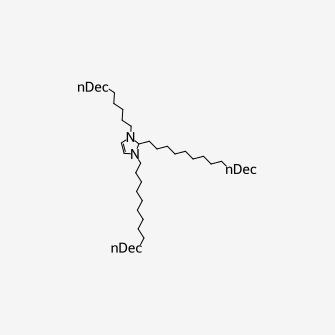 CCCCCCCCCCCCCCCCCCCC1N(CCCCCCCCCCCCCCC)C=CN1CCCCCCCCCCCCCCCCCCC